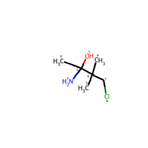 CC(N)(O)C(C)(C)CCl